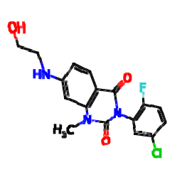 Cn1c(=O)n(-c2cc(Cl)ccc2F)c(=O)c2ccc(NCCO)cc21